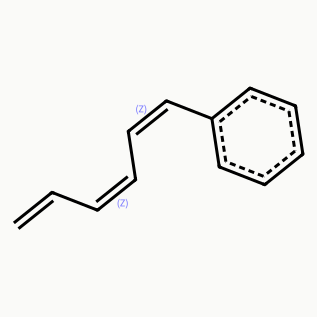 C=C/C=C\C=C/c1ccccc1